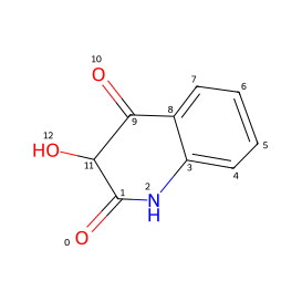 O=C1Nc2ccccc2C(=O)C1O